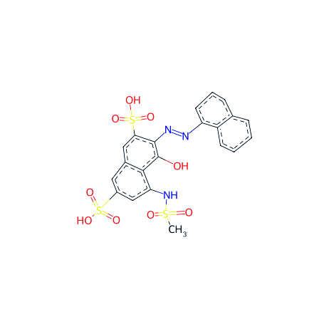 CS(=O)(=O)Nc1cc(S(=O)(=O)O)cc2cc(S(=O)(=O)O)c(N=Nc3cccc4ccccc34)c(O)c12